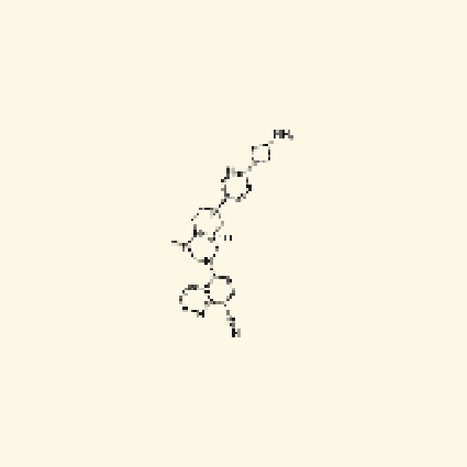 C[C@@H]1CN(c2ccc(C#N)c3ncccc23)C[C@@H]2C[C@H](c3ccc(N4CC(N)C4)nc3)CCN21